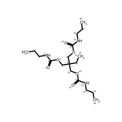 CCCNC(=O)OCC(CC)(COC(=O)NCCC)COC(=O)NCCC